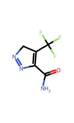 NC(=O)C1=C(C(F)(F)F)CN=N1